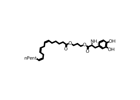 CCCCC/C=C\C/C=C\C/C=C\CCCCC(=O)OCCCOC(=O)[C@@H](N)Cc1ccc(O)c(O)c1